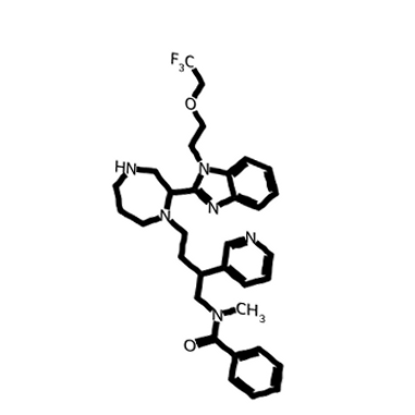 CN(CC(CCN1CCCNCC1c1nc2ccccc2n1CCOCC(F)(F)F)c1cccnc1)C(=O)c1ccccc1